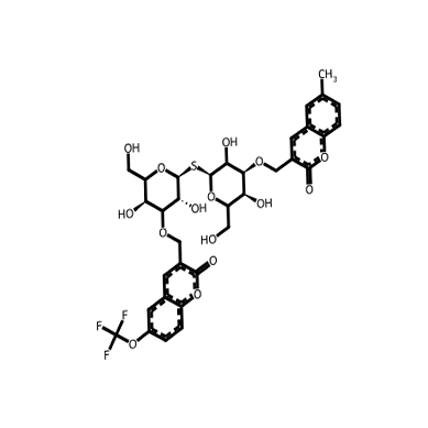 Cc1ccc2oc(=O)c(CO[C@@H]3C(O)[C@H](S[C@@H]4OC(CO)[C@H](O)C(OCc5cc6cc(OC(F)(F)F)ccc6oc5=O)[C@H]4O)OC(CO)[C@@H]3O)cc2c1